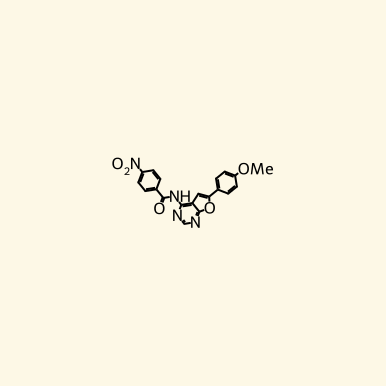 COc1ccc(-c2cc3c(NC(=O)c4ccc([N+](=O)[O-])cc4)ncnc3o2)cc1